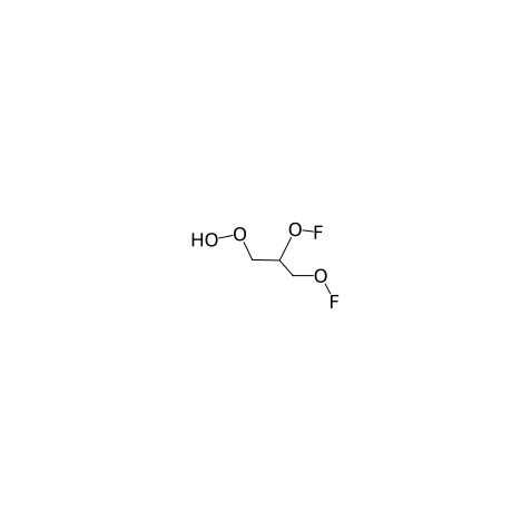 OOCC(COF)OF